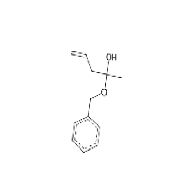 C=CCC(C)(O)OCc1ccccc1